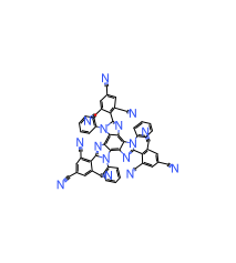 N#Cc1cc(C#N)c(-c2nc3c(c4nc(-c5c(C#N)cc(C#N)cc5C#N)n(-c5ccccc5)c4c4nc(-c5c(C#N)cc(C#N)cc5C#N)n(-c5ccccc5)c34)n2-c2ccccc2)c(C#N)c1